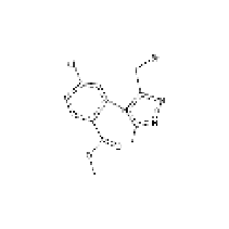 COC(=O)c1ccc(Cl)cc1-n1c(C)nnc1CBr